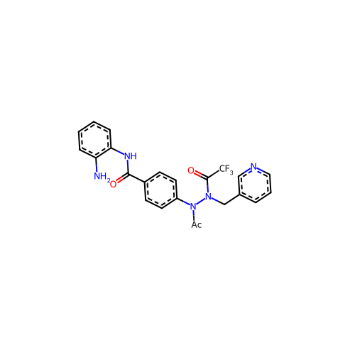 CC(=O)N(c1ccc(C(=O)Nc2ccccc2N)cc1)N(Cc1cccnc1)C(=O)C(F)(F)F